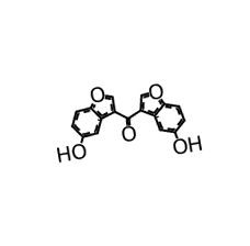 O=C(c1coc2ccc(O)cc12)c1coc2ccc(O)cc12